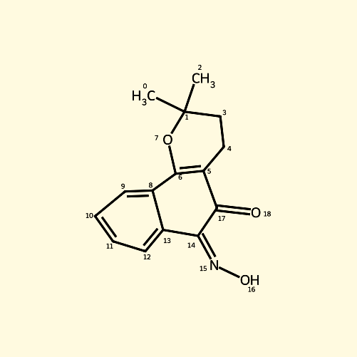 CC1(C)CCC2=C(O1)c1ccccc1C(=NO)C2=O